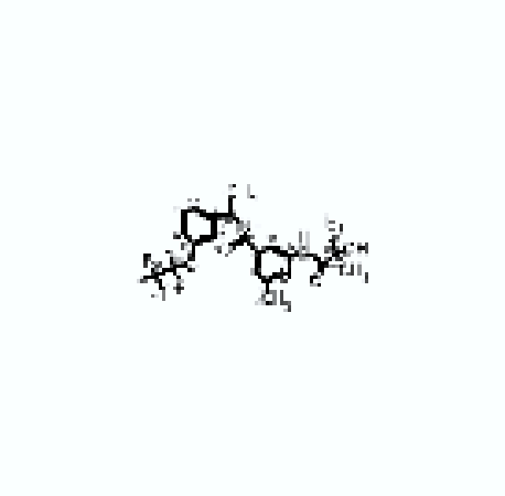 Cc1cc(C(=O)N[C@H](C)c2cccc(OC(F)(F)C(F)(F)I)c2)cc(NC(=O)C(C)(C)O)n1